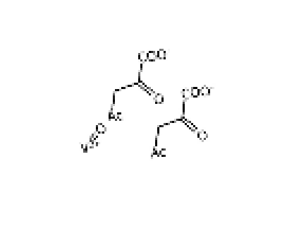 CC(=O)CC(=O)C(=O)[O-].CC(=O)CC(=O)C(=O)[O-].[O]=[V+2]